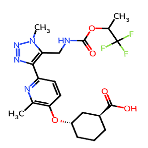 Cc1nc(-c2nnn(C)c2CNC(=O)OC(C)C(F)(F)F)ccc1O[C@H]1CCC[C@H](C(=O)O)C1